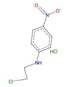 Cl.O=[N+]([O-])c1ccc(NCCCl)cc1